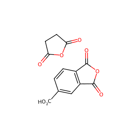 O=C(O)c1ccc2c(c1)C(=O)OC2=O.O=C1CCC(=O)O1